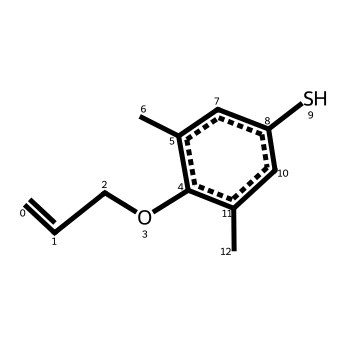 C=CCOc1c(C)cc(S)cc1C